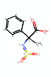 CC(N=S(=O)=O)(C(=O)O)c1ccccc1